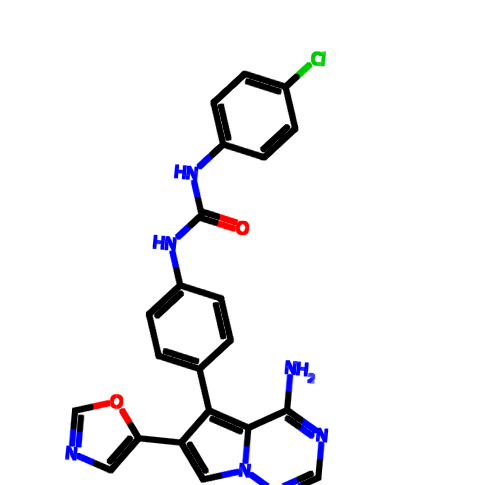 Nc1ncnn2cc(-c3cnco3)c(-c3ccc(NC(=O)Nc4ccc(Cl)cc4)cc3)c12